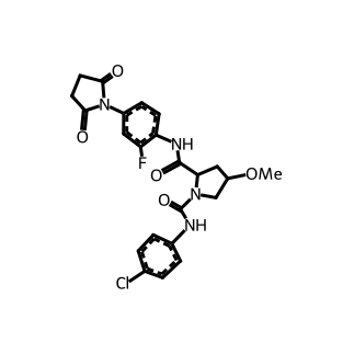 COC1CC(C(=O)Nc2ccc(N3C(=O)CCC3=O)cc2F)N(C(=O)Nc2ccc(Cl)cc2)C1